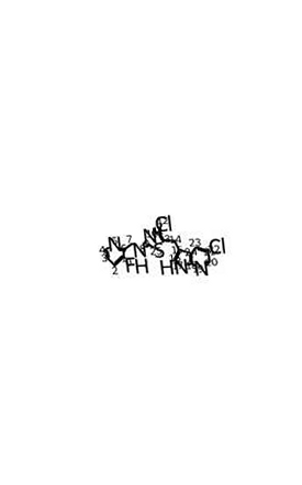 Fc1cccnc1CNc1nc(Cl)c(Cc2c[nH]c3ncc(Cl)cc23)s1